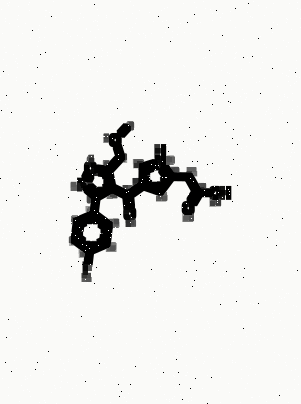 COCc1onc(-c2ccc(F)cc2)c1C(=O)c1c[nH]c(CC(=O)O)c1